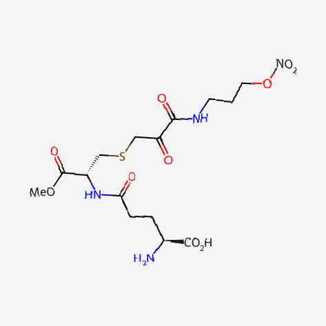 COC(=O)[C@H](CSCC(=O)C(=O)NCCCO[N+](=O)[O-])NC(=O)CC[C@H](N)C(=O)O